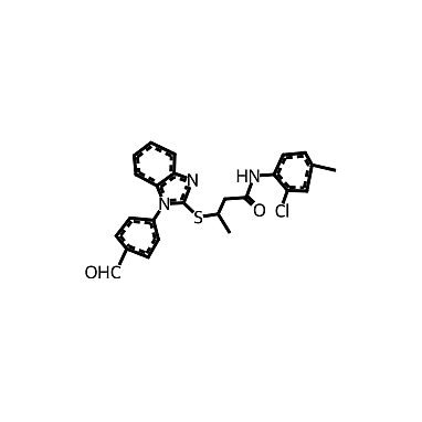 Cc1ccc(NC(=O)CC(C)Sc2nc3ccccc3n2-c2ccc(C=O)cc2)c(Cl)c1